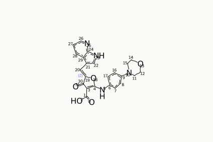 O=C(O)C1=C(Nc2ccc(N3CCOCC3)cc2)O/C(=C\c2c[nH]c3ncccc23)C1=O